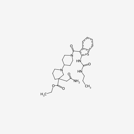 CCCNC(=O)Nc1sc2ccccc2c1C(=O)N1CCC(N2CCCC(CC(N)=O)(C(=O)OCC)C2)CC1